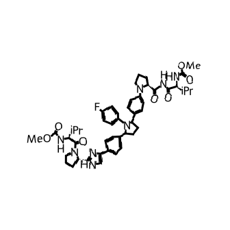 COC(=O)N[C@H](C(=O)NC(=O)[C@@H]1CCCN1c1ccc(C2CCC(c3ccc(-c4c[nH]c([C@@H]5CCCN5C(=O)[C@@H](NC(=O)OC)C(C)C)n4)cc3)N2c2ccc(F)cc2)cc1)C(C)C